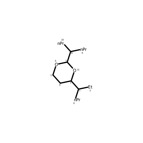 CCCC(CC)C1CCOC(C(CCC)CCC)O1